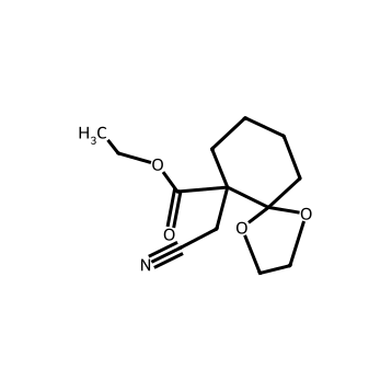 CCOC(=O)C1(CC#N)CCCCC12OCCO2